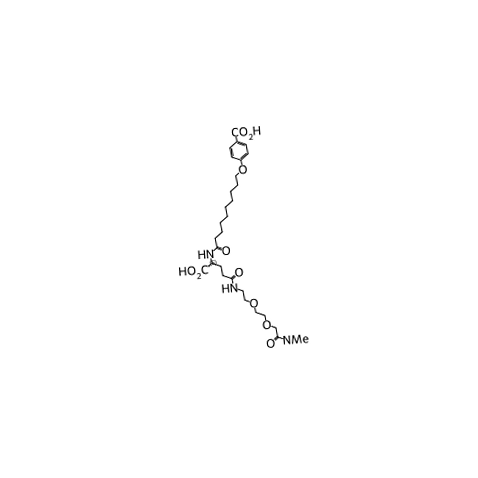 CNC(=O)COCCOCCNC(=O)CC[C@H](NC(=O)CCCCCCCCCOc1ccc(C(=O)O)cc1)C(=O)O